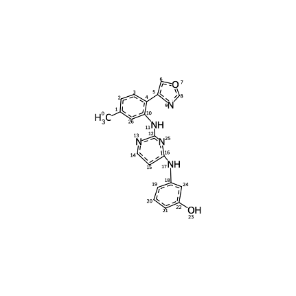 Cc1ccc(-c2cocn2)c(Nc2nccc(Nc3cccc(O)c3)n2)c1